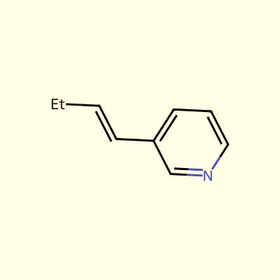 CCC=Cc1cccnc1